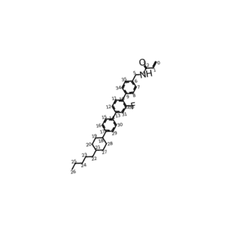 C=CC(=O)NCc1ccc(-c2ccc(-c3ccc(C4CCC(CCCCC)CC4)cc3)cc2F)cc1